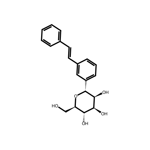 OC[C@H]1O[C@H](c2cccc(/C=C/c3ccccc3)c2)[C@@H](O)[C@@H](O)[C@@H]1O